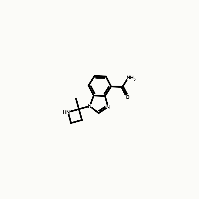 CC1(n2cnc3c(C(N)=O)cccc32)CCN1